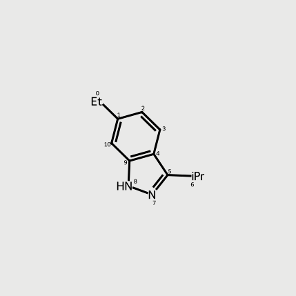 CCc1ccc2c(C(C)C)n[nH]c2c1